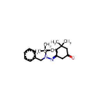 CC1(C)CC(=O)CC(=NN(Cc2ccccc2)[Si](C)(C)C)C1